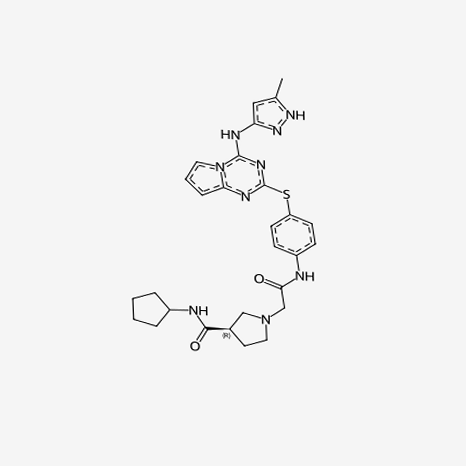 Cc1cc(Nc2nc(Sc3ccc(NC(=O)CN4CC[C@@H](C(=O)NC5CCCC5)C4)cc3)nc3cccn23)n[nH]1